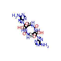 Nc1ncnc2c1ncn2[C@@H]1O[C@@H]2CNC(=O)N[C@H]3[C@@H](O)[C@H](n4cnc5c(N)ncnc54)O[C@@H]3CNC(=O)N[C@H]2[C@H]1O